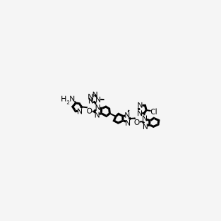 Cn1nnnc1-n1c(OCc2cc(N)ccn2)nc2cc(-c3ccc4nc(COc5nc6ccccc6n5-c5ncncc5Cl)n(C)c4c3)ccc21